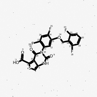 O=C(O)c1scc2[nH]c(=O)n(-c3cc(OCc4c(F)cccc4F)c(F)cc3F)c(=O)c12